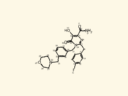 NC(=O)c1nc(Cc2ccc(F)cc2)n(Cc2cccc(CN3CCOCC3)c2)c(=O)c1O